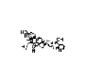 CC[C@H]1[C@@H](O)[C@@H]2[C@H](CC[C@]3(C)[C@@H](CCCOc4ncccc4C(=O)O)CC[C@@H]23)[C@@]2(C)CC[C@@H](O)C[C@@H]12